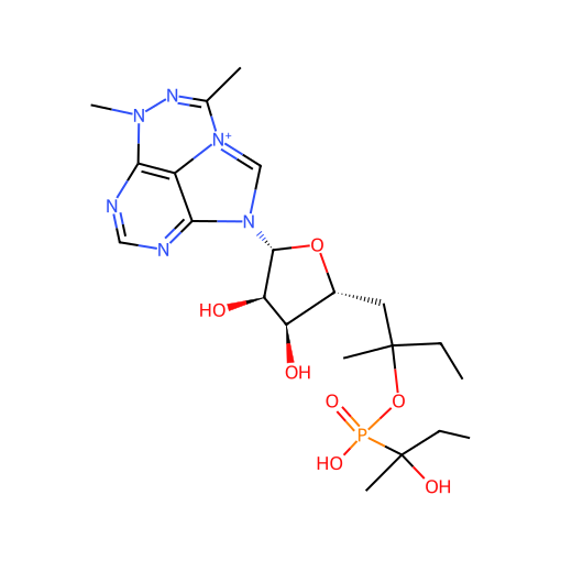 CCC(C)(C[C@H]1O[C@@H](n2c[n+]3c4c(ncnc42)N(C)N=C3C)[C@H](O)[C@@H]1O)OP(=O)(O)C(C)(O)CC